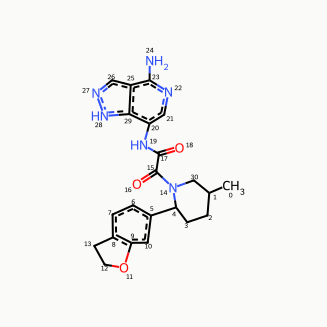 CC1CCC(c2ccc3c(c2)OCC3)N(C(=O)C(=O)Nc2cnc(N)c3cn[nH]c23)C1